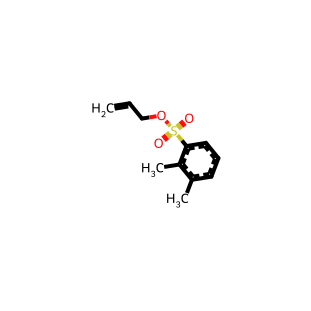 C=CCOS(=O)(=O)c1cccc(C)c1C